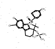 Cc1ccc(S(=O)(=O)n2c3c(c4cc(Cl)c(Cl)cc42)CCCC3(O[Si](C)(C)C)C(F)(F)F)cc1